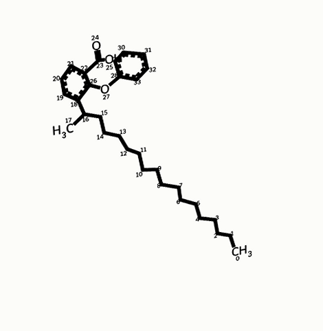 CCCCCCCCCCCCCCCCC(C)c1cccc(C(=O)O)c1Oc1ccccc1